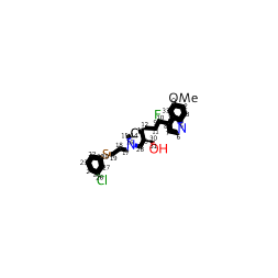 COc1ccc2nccc([C@H](F)CC[C@@H]3CCN(CCCSc4cccc(Cl)c4)C[C@@H]3CO)c2c1